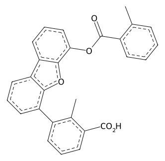 Cc1ccccc1C(=O)Oc1cccc2c1oc1c(-c3cccc(C(=O)O)c3C)cccc12